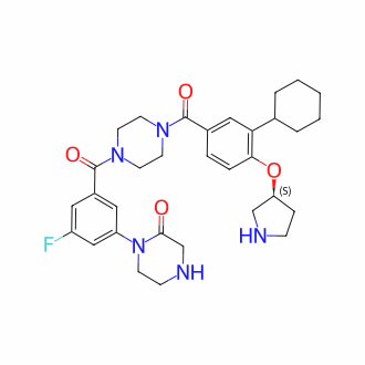 O=C(c1cc(F)cc(N2CCNCC2=O)c1)N1CCN(C(=O)c2ccc(O[C@H]3CCNC3)c(C3CCCCC3)c2)CC1